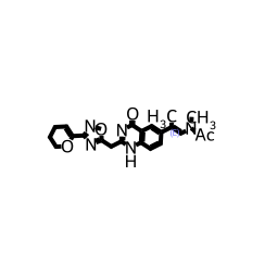 CC(=O)N(C)/C=C(\C)c1ccc2[nH]c(Cc3nc(C4=CCCCO4)no3)nc(=O)c2c1